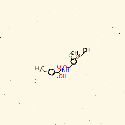 C#CCOc1ccc(CONC(=O)C(O)c2ccc(CC)cc2)cc1OC